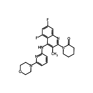 Cc1c(N2CCCCC2=O)nc2cc(F)cc(F)c2c1Nc1cccc(N2CCOCC2)n1